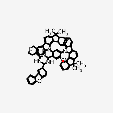 CC1(C)c2ccccc2-c2c1ccc1c3ccccc3n(-c3cc(-n4c5ccccc5c5ccc6c(c54)C4C=CCCC4C6(C)C)c(C4NC(C5=CCCCC5)NC(C5C=c6c(oc7ccccc67)=CC5)N4)cc3C#N)c21